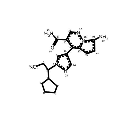 N#CCC(C1CCCC1)n1cc(-c2c(C(N)=O)cnn3c(N)ccc23)cn1